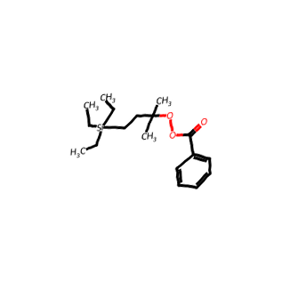 CC[Si](CC)(CC)CCC(C)(C)OOC(=O)c1ccccc1